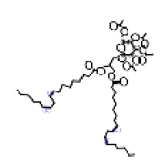 CCCCC/C=C\C/C=C\CCCCCCCC(=O)OCC(COC(=O)CCCCCCC/C=C\C/C=C\CCCCC)CO[C@@H]1O[C@H](COC(C)=O)[C@@H](OC(C)=O)[C@H](OC(C)=O)[C@H]1OC(C)=O